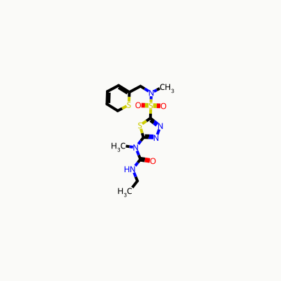 CCNC(=O)N(C)c1nnc(S(=O)(=O)N(C)CC2=CC=CCS2)s1